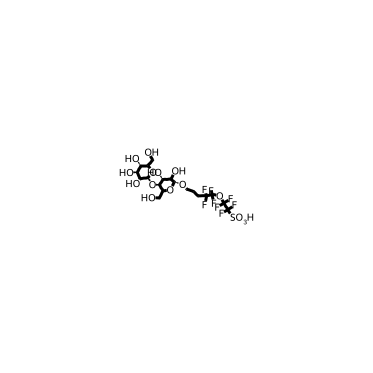 O=S(=O)(O)C(F)(F)C(F)(F)OC(F)(F)C(F)(F)CCCO[C@@H]1OC(CO)[C@@H](O[C@@H]2OC(CO)[C@@H](O)[C@H](O)C2O)[C@H](O)C1O